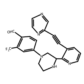 O=Cc1ccc(N2CCNC(c3ncccc3C#Cc3cnccn3)C2)cc1C(F)(F)F